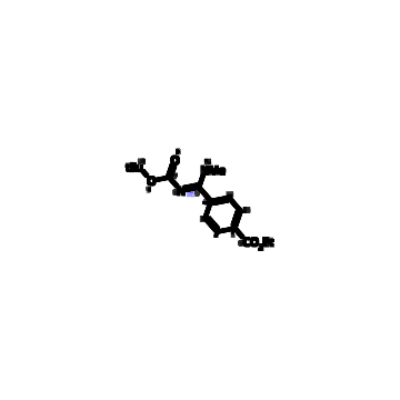 CCOC(=O)c1ccc(/C(=N/C(=O)OC(C)(C)C)NC)cc1